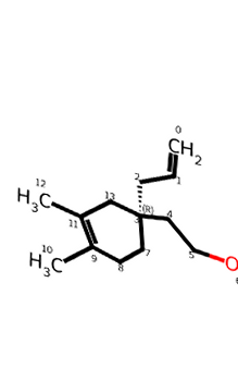 C=CC[C@]1(CCO)CCC(C)=C(C)C1